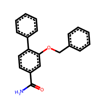 NC(=O)c1ccc(-c2ccccc2)c(OCc2ccccc2)c1